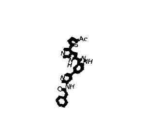 CC(=O)c1ccc(-c2cncc3[nH]c(-c4n[nH]c5ccc(-c6cncc(NC(=O)CC7CCCCC7)c6)cc45)cc23)s1